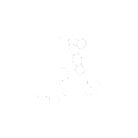 C[C@H]1CN(C(=O)N2CC3(CCCCN(c4nc(OC[C@@]56CCCN5C[C@H](F)C6)nc5c(F)c(-c6ccc(F)c7sc(N)c(C#N)c67)c(Cl)cc45)C3)C2)CCO1